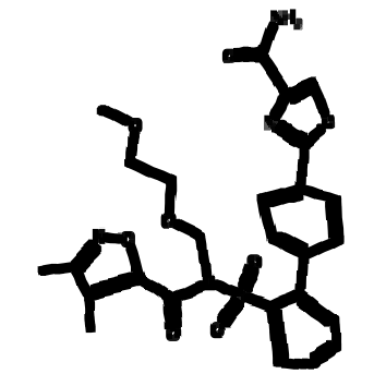 COCCOCN(C(=O)c1onc(C)c1C)S(=O)(=O)c1ccccc1-c1ccc(-c2nc(C(N)=O)co2)cc1